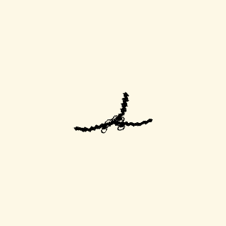 CCCCCCCCCCC(=O)OCC(COC(=O)CCCCCCCCCC)OC(=O)CCCCCCCCCC